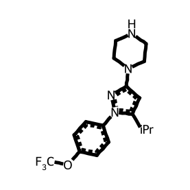 CC(C)c1cc(N2CCNCC2)nn1-c1ccc(OC(F)(F)F)cc1